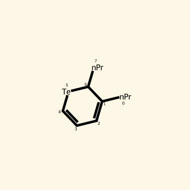 CCCC1=CC=C[Te]C1CCC